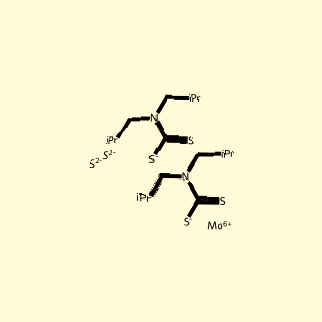 CC(C)CN(CC(C)C)C(=S)[S-].CC(C)CN(CC(C)C)C(=S)[S-].[Mo+6].[S-2].[S-2]